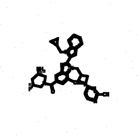 COc1cc(C(=O)N2C[C@H](N)C[C@@H](F)C2)cc2nc(-c3cc4ccccc4n3CC3CC3)n(CC3CN(c4ccnc(C#N)n4)C3)c12